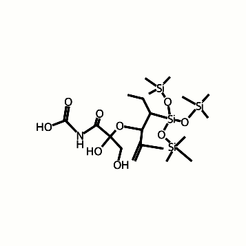 C=C(C)C(OC(O)(CO)C(=O)NC(=O)O)C(CC)[Si](O[Si](C)(C)C)(O[Si](C)(C)C)O[Si](C)(C)C